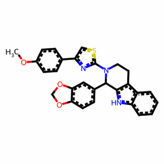 COc1ccc(-c2csc(N3CCc4c([nH]c5ccccc45)C3c3ccc4c(c3)OCO4)n2)cc1